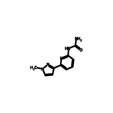 Cn1ccc(-c2cccc(NC(N)=O)n2)n1